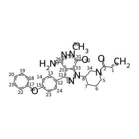 C=CC(=O)N1CCCC(n2nc(-c3ccc(Oc4ccccc4)cc3)c3c(N)nn(C)c(=O)c32)C1